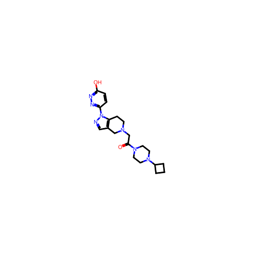 O=C(CN1CCc2c(cnn2-c2ccc(O)nn2)C1)N1CCN(C2CCC2)CC1